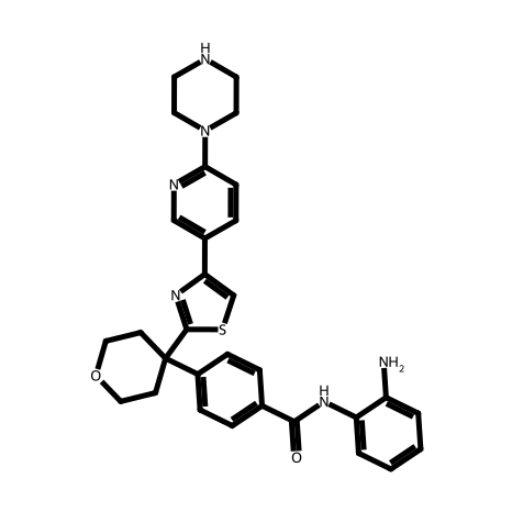 Nc1ccccc1NC(=O)c1ccc(C2(c3nc(-c4ccc(N5CCNCC5)nc4)cs3)CCOCC2)cc1